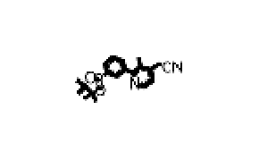 Cc1c(CC#N)ccnc1-c1cccc(B2OC(C)(C)C(C)(C)O2)c1